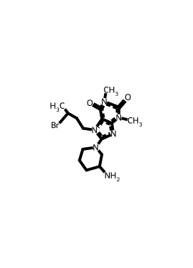 CC(Br)CCn1c(N2CCCC(N)C2)nc2c1c(=O)n(C)c(=O)n2C